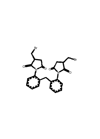 O=C1CC(CBr)C(=O)N1c1ccccc1Cc1ccccc1N1C(=O)CC(CBr)C1=O